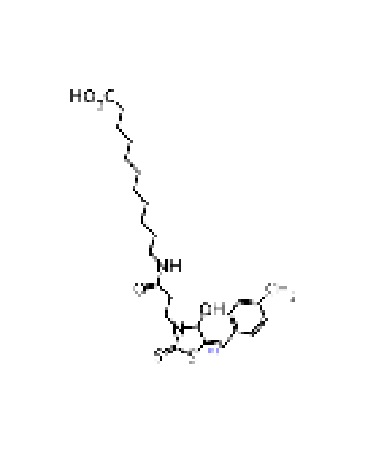 Cc1ccc(/C=C2/SC(=S)N(CCC(=O)NCCCCCCCCCCC(=O)O)C2O)cc1